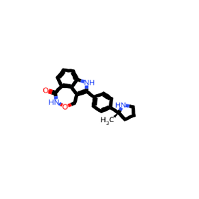 C[C@]1(c2ccc(-c3[nH]c4cccc5c4c3CONC5=O)cc2)CCCN1